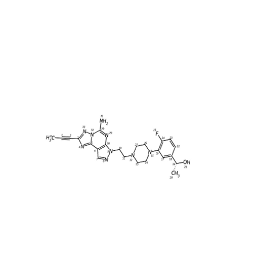 CC#Cc1nc2c3cnn(CCN4CCN(c5cc([C@@H](C)O)ccc5F)CC4)c3nc(N)n2n1